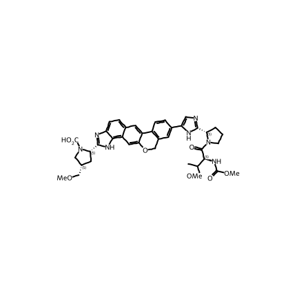 COC[C@H]1C[C@@H](c2nc3ccc4cc5c(cc4c3[nH]2)OCc2cc(-c3cnc([C@@H]4CCCN4C(=O)[C@@H](NC(=O)OC)C(C)OC)[nH]3)ccc2-5)N(C(=O)O)C1